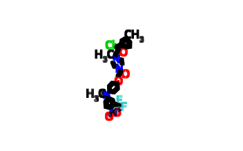 Cc1ccc2oc(C(C)N3CCN(C(=O)CO[C@H]4CC[C@H](N(C)c5ccc([N+](=O)[O-])c(C(F)(F)F)c5)CC4)CC3)c(Cl)c2c1